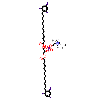 C[N+](C)(C)CCOP(=O)(O)OC(COC(=O)CC=CCCCCCCCCCc1c(I)cc(I)cc1I)COC(=O)CC=CCCCCCCCCCc1c(I)cc(I)cc1I